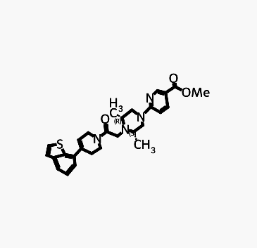 COC(=O)c1ccc(N2C[C@@H](C)N(CC(=O)N3CC=C(c4cccc5ccsc45)CC3)[C@@H](C)C2)nc1